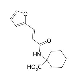 O=C(C=Cc1ccco1)NC1(C(=O)O)CCCCC1